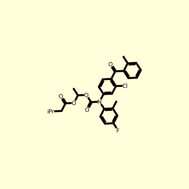 Cc1ccccc1C(=O)c1ccc(N(C(=O)OC(C)OC(=O)CC(C)C)c2ccc(F)cc2C)cc1Cl